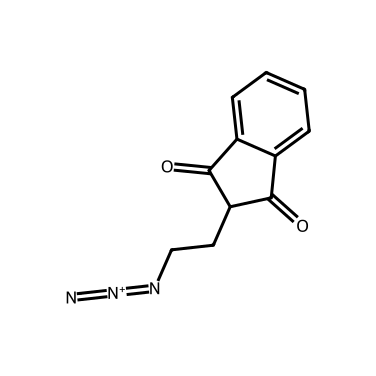 [N-]=[N+]=NCCC1C(=O)c2ccccc2C1=O